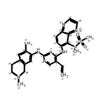 C=Cc1cnc(Nc2cc3c(cc2C)CCN(C)C3)nc1Nc1ccc2nccnc2c1N(C)S(C)(=O)=O